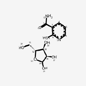 NC(=O)c1cccnc1S.OC[C@H]1OC(O)[C@H](O)[C@@H]1O